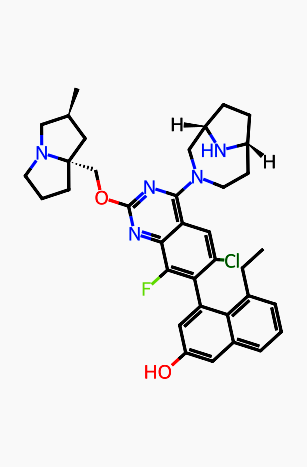 CCc1cccc2cc(O)cc(-c3c(Cl)cc4c(N5CC[C@H]6CC[C@@H](C5)N6)nc(OC[C@]56CCCN5C[C@@H](C)C6)nc4c3F)c12